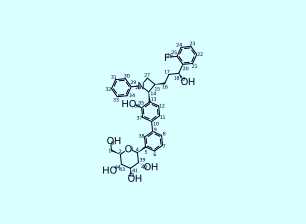 OC[C@H]1O[C@@H](c2cccc(-c3ccc([C@@H]4[C@H](CC[C@H](O)c5ccccc5F)CN4c4ccccc4)c(O)c3)c2)[C@H](O)[C@@H](O)[C@@H]1O